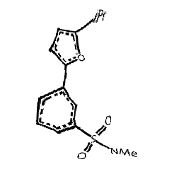 CNS(=O)(=O)c1cccc(-c2ccc(C(C)C)o2)c1